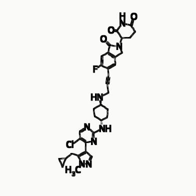 Cn1ncc(-c2nc(N[C@H]3CC[C@H](NCC#Cc4cc5c(cc4F)C(=O)N(C4CCC(=O)NC4=O)C5)CC3)ncc2Cl)c1CC1CC1